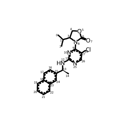 CC(C)C1COC(=O)N1c1nc(N[C@@H](C)c2ccc3ccccc3c2)ncc1Cl